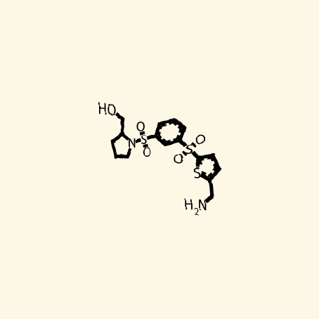 NCc1ccc(S(=O)(=O)c2cccc(S(=O)(=O)N3CCCC3CO)c2)s1